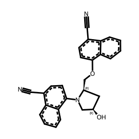 N#Cc1ccc(OC[C@H]2C[C@@H](O)CN2c2ccc(C#N)c3ccccc23)c2ccccc12